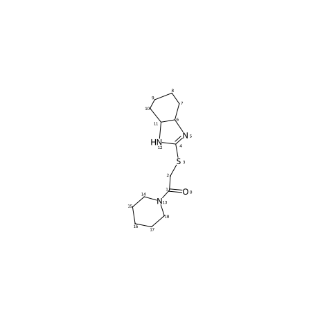 O=C(CSC1=NC2CCCCC2N1)N1CCCCC1